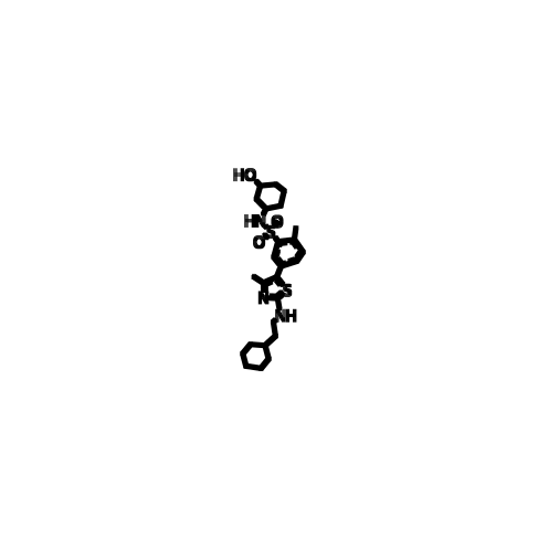 Cc1ccc(-c2sc(NCCC3CCCCC3)nc2C)cc1S(=O)(=O)NC1CCCC(O)C1